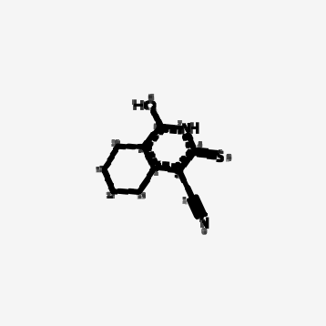 N#Cc1c2c(c(O)[nH]c1=S)CCCC2